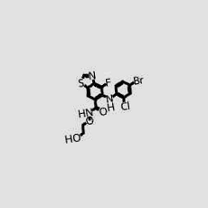 O=C(NOCCO)c1cc2scnc2c(F)c1Nc1ccc(Br)cc1Cl